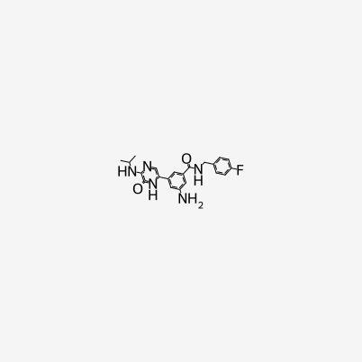 CC(C)Nc1ncc(-c2cc(N)cc(C(=O)NCc3ccc(F)cc3)c2)[nH]c1=O